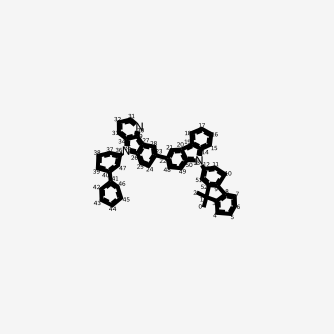 CC1(C)c2ccccc2-c2ccc(-n3c4ccccc4c4cc(-c5ccc6c(c5)c5ncccc5n6-c5cccc(-c6ccccc6)c5)ccc43)cc21